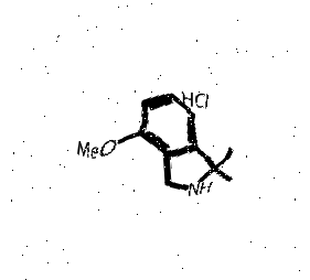 COc1cccc2c1CNC2(C)C.Cl